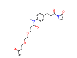 CC(C)C(=O)CCOCCOCCC(=O)N(C)c1ccc(CCC(=O)N2CCC2=O)cc1